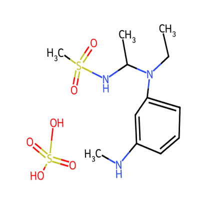 CCN(c1cccc(NC)c1)C(C)NS(C)(=O)=O.O=S(=O)(O)O